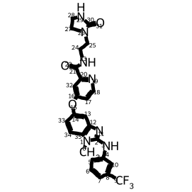 Cn1c(Nc2cccc(C(F)(F)F)c2)nc2cc(Oc3ccnc(C(=O)NCCN4CCNC4=O)c3)ccc21